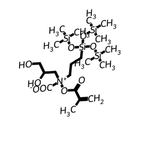 C=C(C)C(=O)O[N+](CCC[Si](O[Si](C)(C)C)(O[Si](C)(C)C)O[Si](C)(C)C)(CC(O)CO)C(=O)[O-]